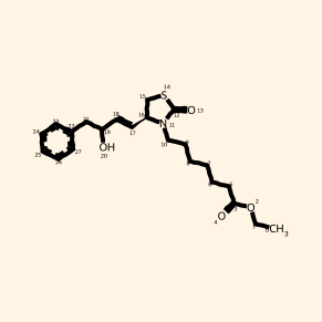 CCOC(=O)CCCCCCN1C(=O)SC[C@@H]1/C=C/C(O)Cc1ccccc1